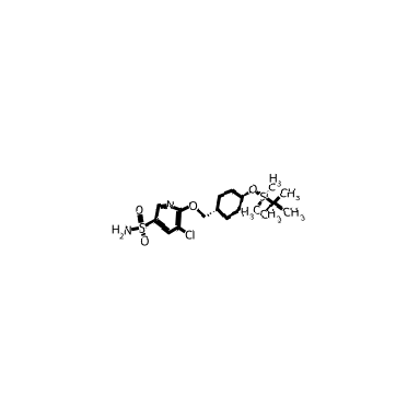 CC(C)(C)[Si](C)(C)O[C@H]1CC[C@H](COc2ncc(S(N)(=O)=O)cc2Cl)CC1